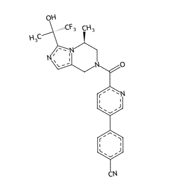 C[C@H]1CN(C(=O)c2ccc(-c3ccc(C#N)cc3)cn2)Cc2cnc([C@@](C)(O)C(F)(F)F)n21